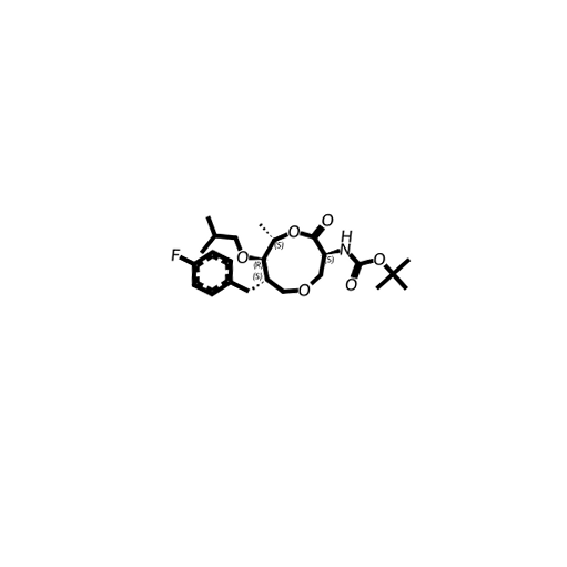 CC(C)CO[C@@H]1[C@@H](Cc2ccc(F)cc2)COC[C@H](NC(=O)OC(C)(C)C)C(=O)O[C@H]1C